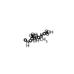 Cc1cc(N=Nc2c(S(=O)(=O)O)cc3cc(Nc4ccccc4)ccc3c2O)c(O)cc1N=Nc1ccc(S(=O)(=O)O)cc1